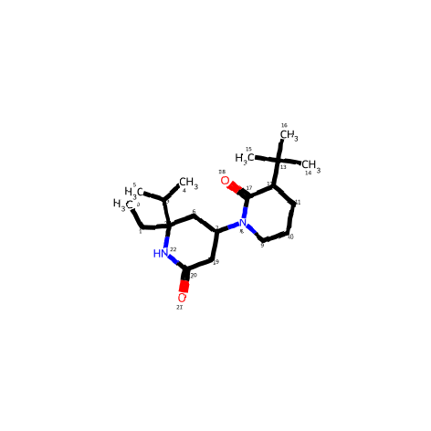 CCC1(C(C)C)CC(N2CCCC(C(C)(C)C)C2=O)CC(=O)N1